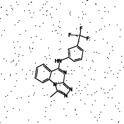 Cc1nnc2nc(Nc3cccc(C(F)(F)F)c3)c3ccccc3n12